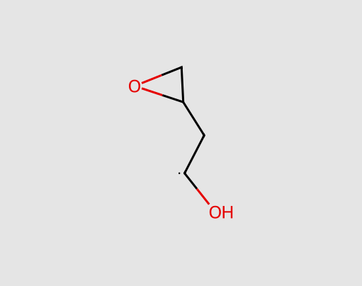 O[CH]CC1CO1